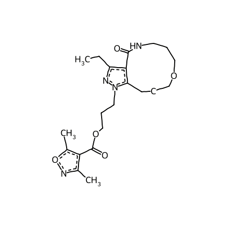 CCc1nn(CCCOC(=O)c2c(C)noc2C)c2c1C(=O)NCCCOCCC2